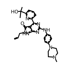 C=CCn1[nH]c2nc(Nc3ccc(N4CCN(C)CC4)cc3)nc(-c3cccc(C(C)(C)O)n3)c2c1=O